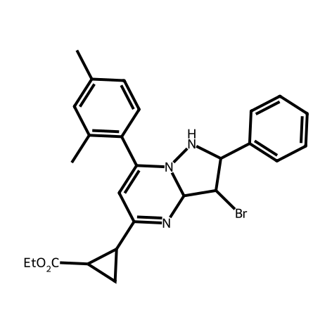 CCOC(=O)C1CC1C1=NC2C(Br)C(c3ccccc3)NN2C(c2ccc(C)cc2C)=C1